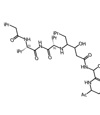 CC(=O)C(CC(C)C)NC(=O)C(C)NC(=O)CC(O)C(CC(C)C)N[C@H](C(=O)NC(=O)[C@@H](NC(=O)CC(C)C)C(C)C)C(C)C